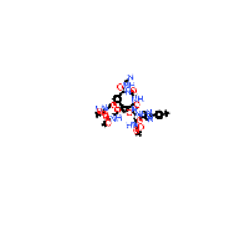 Cc1nc(-c2ccc(C(C)(C)C)cc2)ncc1C(=O)N[C@@H](CCNC(=O)OC(C)(C)C)C(=O)N(C)[C@@H]1C(=O)N[C@@H](C)C(=O)N[C@H](C(=O)NCC#N)Cc2ccc(OCCNC(=O)OC(C)(C)C)c(c2)-c2cc1ccc2OCCNC(=O)OC(C)(C)C